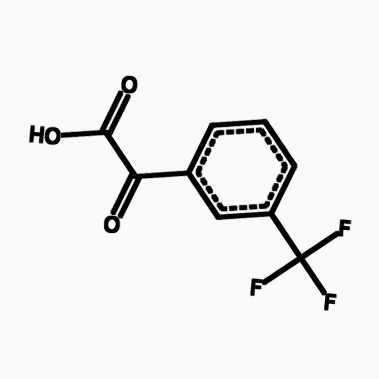 O=C(O)C(=O)c1cccc(C(F)(F)F)c1